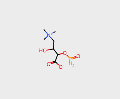 C[N+](C)(C)CC(O)C(O[PH2]=O)C(=O)[O-]